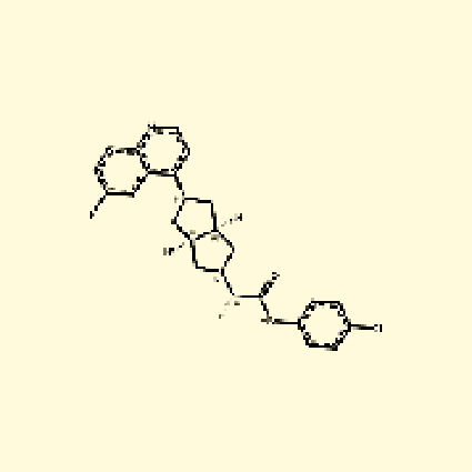 C[C@@H](C(=O)Nc1ccc(Cl)cc1)[C@H]1C[C@H]2C[C@@H](c3ccnc4ccc(F)cc34)C[C@H]2C1